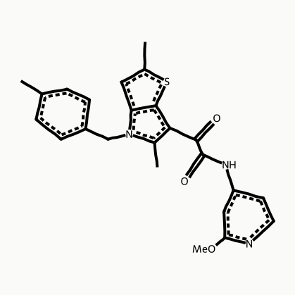 COc1cc(NC(=O)C(=O)c2c(C)n(Cc3ccc(C)cc3)c3cc(C)sc23)ccn1